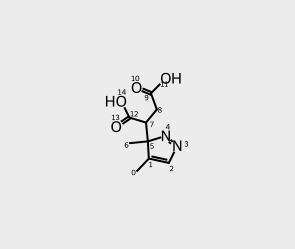 CC1=CN=NC1(C)C(CC(=O)O)C(=O)O